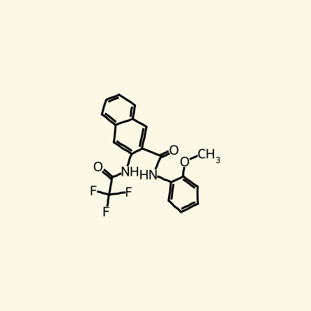 COc1ccccc1NC(=O)c1cc2ccccc2cc1NC(=O)C(F)(F)F